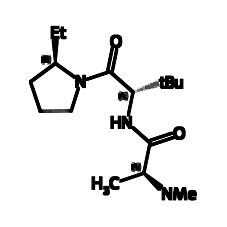 CC[C@@H]1CCCN1C(=O)[C@@H](NC(=O)[C@H](C)NC)C(C)(C)C